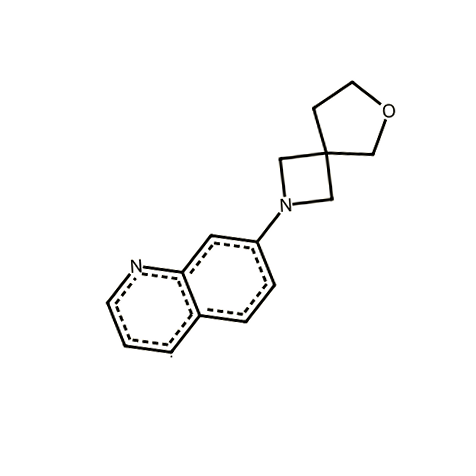 [c]1ccnc2cc(N3CC4(CCOC4)C3)ccc12